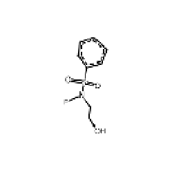 O=S(=O)(c1ccccc1)N(F)CCO